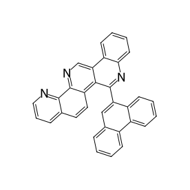 c1ccc2c(c1)cc(-c1nc3ccccc3c3cnc4c(ccc5cccnc54)c13)c1ccccc12